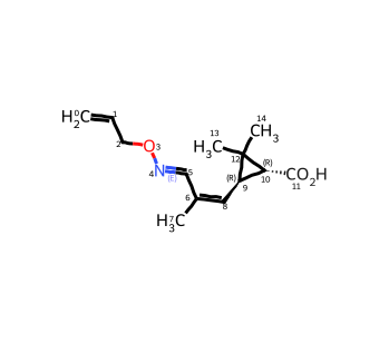 C=CCO/N=C/C(C)=C[C@@H]1[C@@H](C(=O)O)C1(C)C